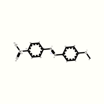 COc1ccc(/N=N/c2ccc([N+](=O)[O-])cc2)cc1